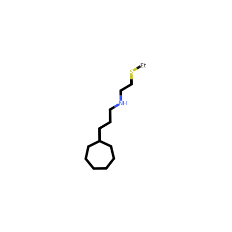 CCSCCNCCCC1CCCCCC1